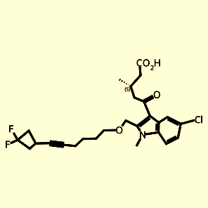 C[C@H](CC(=O)O)CC(=O)c1c(COCCCCC#CC2CC(F)(F)C2)n(C)c2ccc(Cl)cc12